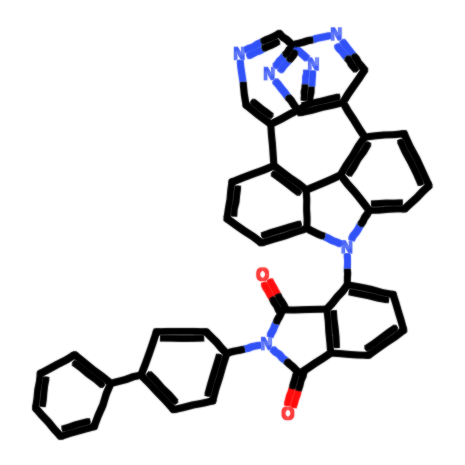 O=C1c2cccc(-n3c4cccc(-c5cncnc5)c4c4c(-c5cncnc5)cccc43)c2C(=O)N1c1ccc(-c2ccccc2)cc1